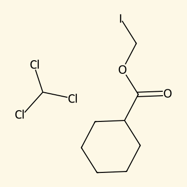 ClC(Cl)Cl.O=C(OCI)C1CCCCC1